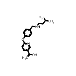 C=C(O)c1ccc(Oc2ccc(CNCCC(C)C)cc2)nc1